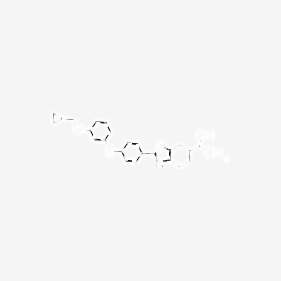 CC(O)C1CCc2nc(-c3ccc(Oc4cccc(OCC5CC5)c4)cc3)oc2C1